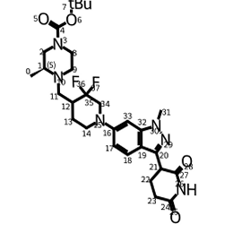 C[C@H]1CN(C(=O)OC(C)(C)C)CCN1CC1CCN(c2ccc3c(C4CCC(=O)NC4=O)nn(C)c3c2)CC1(F)F